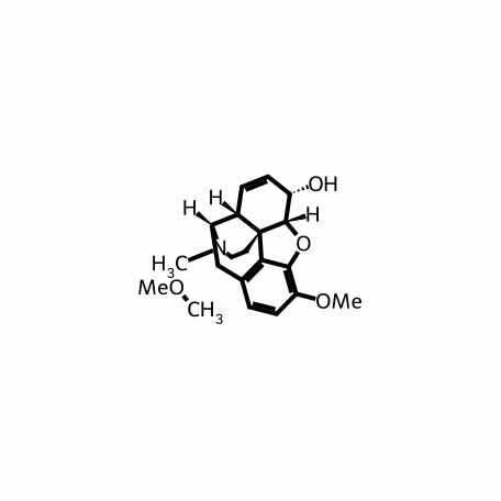 COC.COc1ccc2c3c1O[C@H]1[C@@H](O)C=C[C@H]4[C@@H](C2)N(C)CC[C@@]341